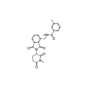 Cc1cccc(C(=O)NCc2cccc3c2C(=O)N(C2CCC(=O)N(C)C2=O)C3=O)c1